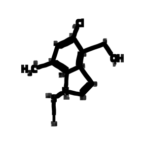 Cc1cc(Cl)c(CO)c2ccn(SI)c12